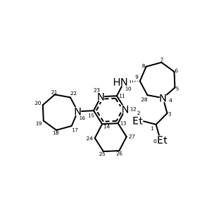 CCC(CC)CN1CCCC[C@@H](Nc2nc3c(c(N4CCCCCC4)n2)CCCC3)C1